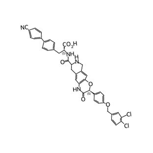 N#Cc1ccc(-c2ccc(C[C@H](NC(=O)C3Cc4cc5c(cc4CN3)O[C@@H](c3ccc(OCc4ccc(Cl)c(Cl)c4)cc3)C(=O)N5)C(=O)O)cc2)cc1